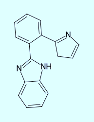 C1=CN=C(c2ccccc2-c2nc3ccccc3[nH]2)C1